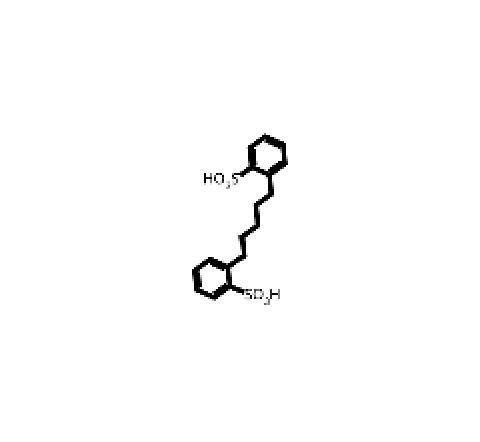 O=S(=O)(O)c1ccccc1CCCCCc1ccccc1S(=O)(=O)O